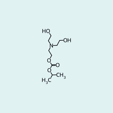 CC(C)OC(=O)OCCN(CCO)CCO